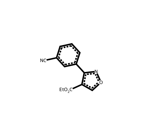 CCOC(=O)c1conc1-c1cccc(C#N)c1